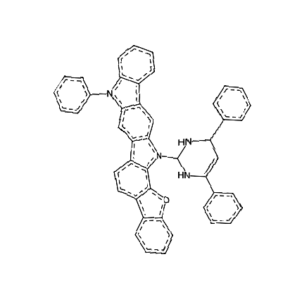 C1=C(c2ccccc2)NC(n2c3cc4c5ccccc5n(-c5ccccc5)c4cc3c3ccc4c5ccccc5oc4c32)NC1c1ccccc1